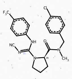 CN(Cc1ccc(Cl)cc1)C(=O)[C@H]1CCCN1/C(=N/C#N)Nc1ccc(C(F)(F)F)cc1